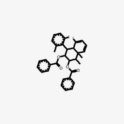 Cc1cccc(I)c1C1C(OC(=O)c2ccccc2)C(OC(=O)c2ccccc2)C(C)C2(C)C=CC=C(I)C12